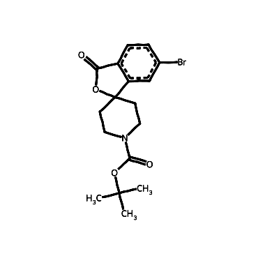 CC(C)(C)OC(=O)N1CCC2(CC1)OC(=O)c1ccc(Br)cc12